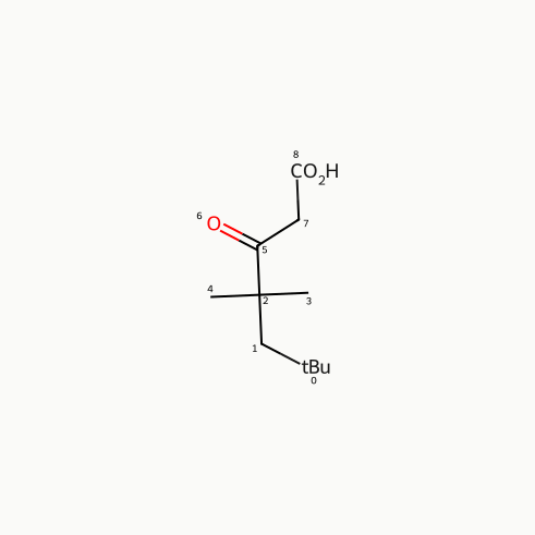 CC(C)(C)CC(C)(C)C(=O)CC(=O)O